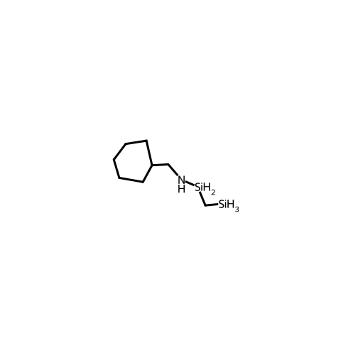 [SiH3]C[SiH2]NCC1CCCCC1